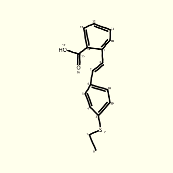 CCSc1ccc(C=Cc2ccccc2C(=O)O)cc1